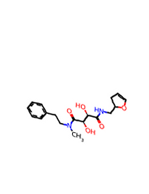 CN(CCc1ccccc1)C(=O)[C@H](O)[C@@H](O)C(=O)NCC1CC=CO1